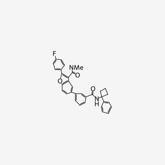 CNC(=O)c1c(-c2ccc(F)cc2)oc2ccc(-c3cccc(C(=O)NC4(c5ccccc5)CCC4)c3)cc12